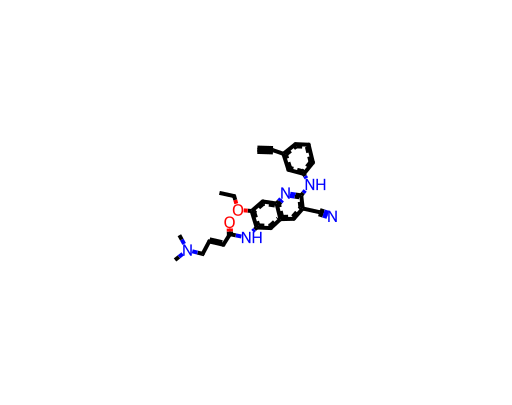 C#Cc1cccc(Nc2nc3cc(OCC)c(NC(=O)C=CCN(C)C)cc3cc2C#N)c1